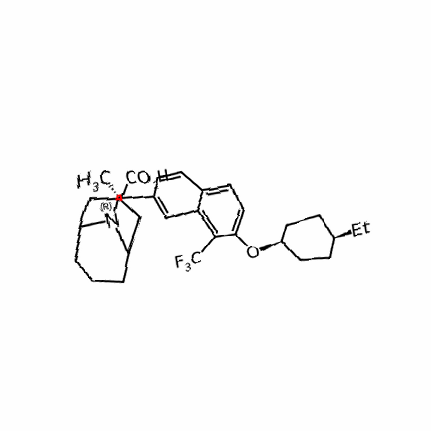 CC[C@H]1CC[C@@H](Oc2ccc3ccc([C@@H](C)N4C5CCCC4CC(C(=O)O)C5)cc3c2C(F)(F)F)CC1